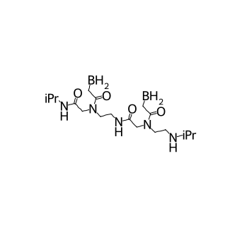 BCC(=O)N(CCNC(C)C)CC(=O)NCCN(CC(=O)NC(C)C)C(=O)CB